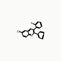 Fc1ccccc1-c1cc2cc(Cl)ccc2nc1-c1ccccc1